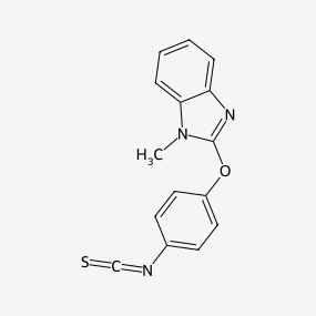 Cn1c(Oc2ccc(N=C=S)cc2)nc2ccccc21